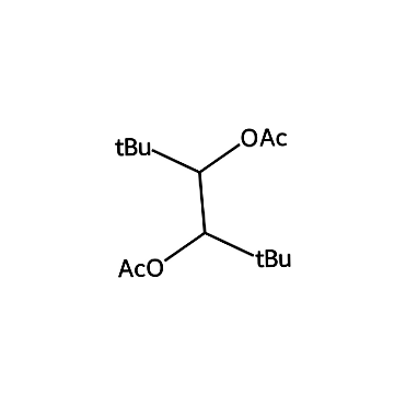 CC(=O)OC(C(OC(C)=O)C(C)(C)C)C(C)(C)C